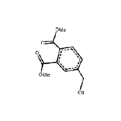 COC(=O)c1ccc(CC#N)cc1C(=O)OC